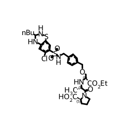 CCCCC1NSc2cc(S(=O)(=O)NCc3ccc(COC[C@H](N[C@@H](C)C(=O)N4CCC[C@H]4C(=O)O)C(=O)OCC)cc3)c(Cl)cc2N1